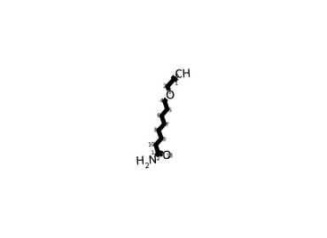 C#CCOCCCCCCCC(N)=O